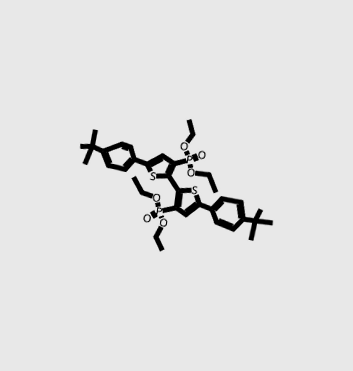 CCOP(=O)(OCC)c1cc(-c2ccc(C(C)(C)C)cc2)sc1-c1sc(-c2ccc(C(C)(C)C)cc2)cc1P(=O)(OCC)OCC